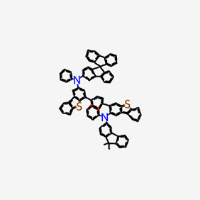 CC1(C)c2ccccc2-c2cc(N(c3ccccc3)c3cc4c(cc3-c3ccc(-c5cc(N(c6ccccc6)c6ccc7c(c6)-c6ccccc6C76c7ccccc7-c7ccccc76)cc6c5sc5ccccc56)cc3)sc3ccccc34)ccc21